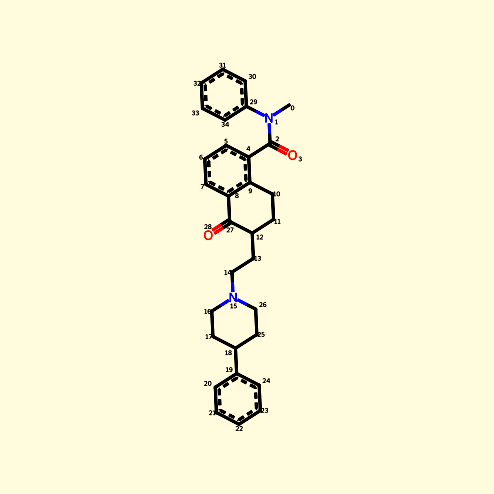 CN(C(=O)c1cccc2c1CCC(CCN1CCC(c3ccccc3)CC1)C2=O)c1ccccc1